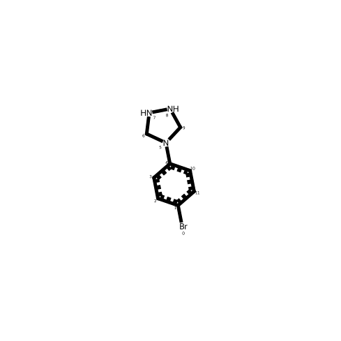 Brc1ccc(N2CNNC2)cc1